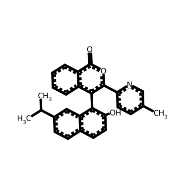 Cc1ccc(-c2oc(=O)c3ccccc3c2-c2c(O)ccc3ccc(C(C)C)cc23)nc1